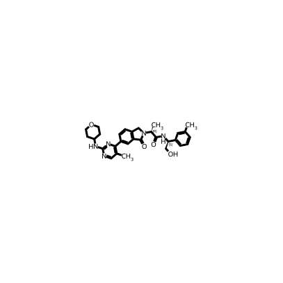 Cc1cccc([C@@H](CO)NC(=O)[C@@H](C)N2Cc3ccc(-c4nc(NC5CCOCC5)ncc4C)cc3C2=O)c1